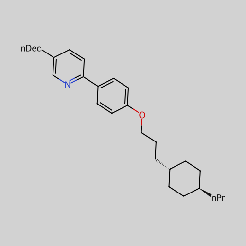 CCCCCCCCCCc1ccc(-c2ccc(OCCC[C@H]3CC[C@H](CCC)CC3)cc2)nc1